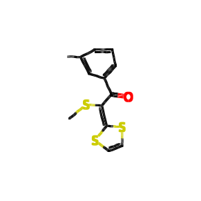 CSC(C(=O)c1cccc(C)c1)=C1SC=CS1